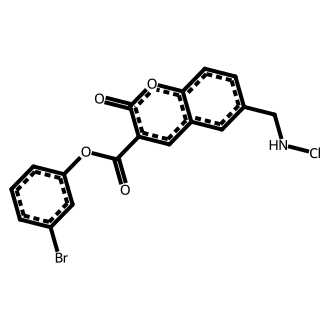 O=C(Oc1cccc(Br)c1)c1cc2cc(CNCl)ccc2oc1=O